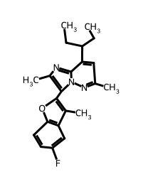 CCC(CC)c1cc(C)nn2c(-c3oc4ccc(F)cc4c3C)c(C)nc12